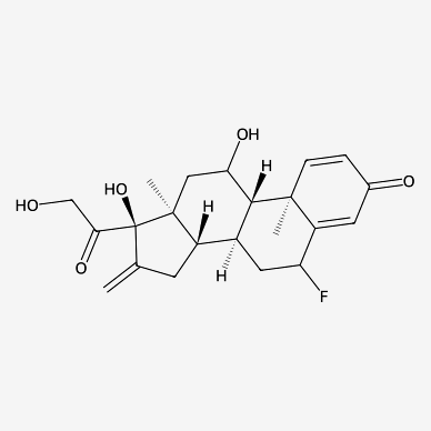 C=C1C[C@H]2[C@@H]3CC(F)C4=CC(=O)C=C[C@]4(C)[C@H]3C(O)C[C@]2(C)[C@@]1(O)C(=O)CO